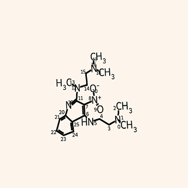 CN(C)CCNc1c([N+](=O)[O-])c(N(C)CCN(C)C)nc2ccccc12